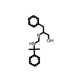 CC(C)(NC[N]C(CO)Cc1ccccc1)c1ccccc1